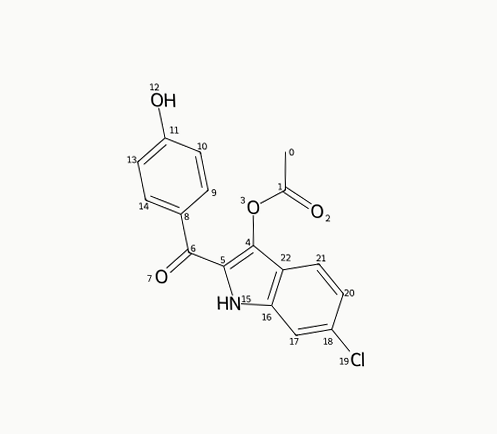 CC(=O)Oc1c(C(=O)c2ccc(O)cc2)[nH]c2cc(Cl)ccc12